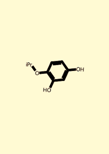 CC(C)Oc1ccc(O)cc1O